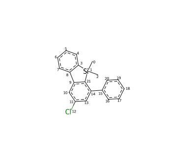 C[Si]1(C)c2ccccc2-c2cc(Cl)cc(-c3ccccc3)c21